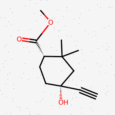 C#C[C@@]1(O)CC[C@H](C(=O)OC)C(C)(C)C1